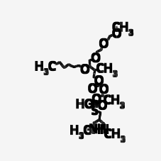 CCCCCCOC(COCCOCCOC)C(C)COC(=O)OC(C)OP(=O)(O)SCC(CNC)CNC